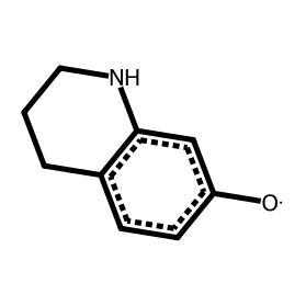 [O]c1ccc2c(c1)NCCC2